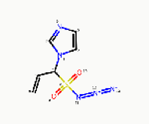 C=CC(n1ccnc1)S(=O)(=O)N=[N+]=[N-]